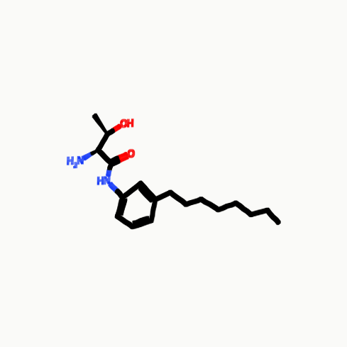 CCCCCCCCc1cccc(NC(=O)[C@@H](N)[C@@H](C)O)c1